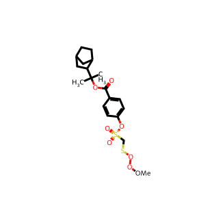 COOOSCS(=O)(=O)Oc1ccc(C(=O)OC(C)(C)C2CC3CCC2C3)cc1